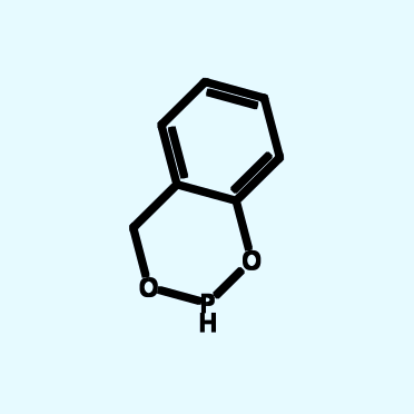 c1ccc2c(c1)COPO2